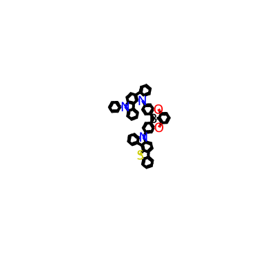 c1ccc(-n2c3ccccc3c3c2ccc2c4ccccc4n(-c4ccc5c(c4)Oc4cccc6c4B5c4ccc(-n5c7ccccc7c7c8sc9ccccc9c8ccc75)cc4O6)c23)cc1